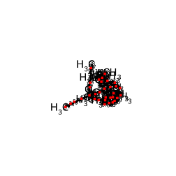 CCCCCCCCCCCCOc1cc(OCCCCCCCCCCCC)cc(C(=O)OCCc2cc3c4c(ccc5c6c(-c7ccc(-c8ccc(-c9ccc(-c%10ccc(-c%11ccc(-c%12ccc(CCCCCC)s%12)s%11)s%10)s9)s8)s7)cc7c8c(ccc(c2c45)c86)C(=O)N(c2c(C(C)C)cccc2C(C)C)C7=O)C(=O)N(c2c(C(C)C)cccc2C(C)C)C3=O)c1